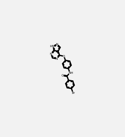 O=C(Nc1ccc(Oc2ncnc3[nH]ncc23)cc1)c1ccc(Br)cc1